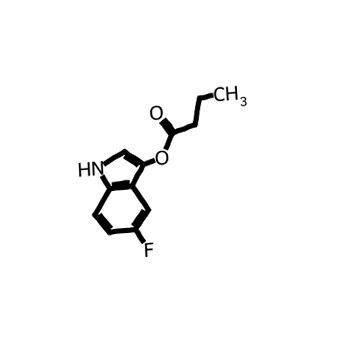 CCCC(=O)Oc1c[nH]c2ccc(F)cc12